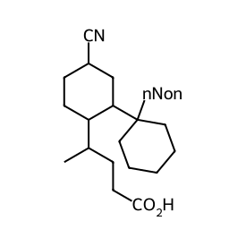 CCCCCCCCCC1(C2CC(C#N)CCC2C(C)CCC(=O)O)CCCCC1